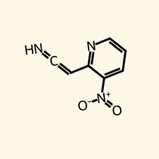 N=C=Cc1ncccc1[N+](=O)[O-]